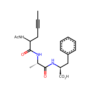 CC#CCC(NC(C)=O)C(=O)N[C@@H](C)C(=O)N[C@@H](Cc1ccccc1)C(=O)O